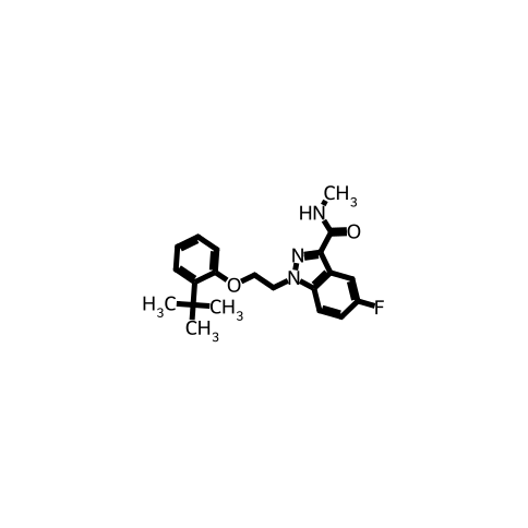 CNC(=O)c1nn(CCOc2ccccc2C(C)(C)C)c2ccc(F)cc12